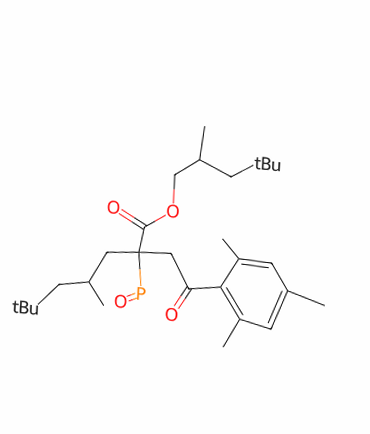 Cc1cc(C)c(C(=O)CC(CC(C)CC(C)(C)C)(P=O)C(=O)OCC(C)CC(C)(C)C)c(C)c1